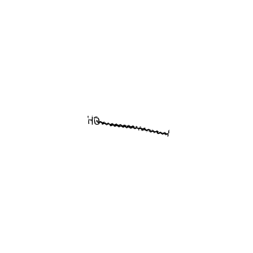 OCCCCCCCCCCCCCCCCCCCCCCCCCCCCCCCCCCCI